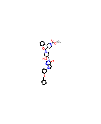 CC(C)(C)OC(=O)N1CC[C@@H](C(=O)N2CCC(O)(Cn3cnc4c(ccn4-c4cccc(OCc5ccccc5)c4)c3=O)CC2)[C@H](c2ccccc2)C1